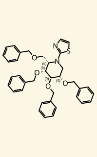 c1ccc(COC[C@H]2[C@@H](OCc3ccccc3)[C@H](OCc3ccccc3)[C@@H](OCc3ccccc3)CN2c2nccs2)cc1